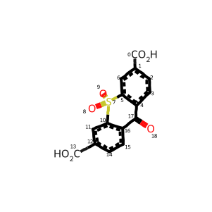 O=C(O)c1ccc2c(c1)S(=O)(=O)c1cc(C(=O)O)ccc1C2=O